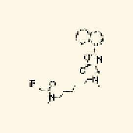 CC(C)CC(=O)N(C)CCCCCCN(C)C=C1N=C(c2cccc3ccccc23)OC1=O